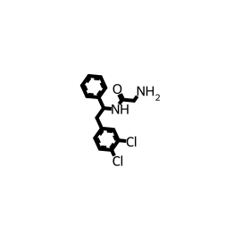 NCC(=O)NC(Cc1ccc(Cl)c(Cl)c1)c1ccccc1